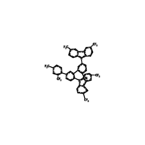 N#Cc1ccc(-n2c3ccc(C(F)(F)F)cc3c3cc(C(F)(F)F)ccc32)cc1-c1cc(-c2ccc(C(F)(F)F)cc2C(F)(F)F)ccc1-n1c2ccc(C(F)(F)F)cc2c2cc(C(F)(F)F)ccc21